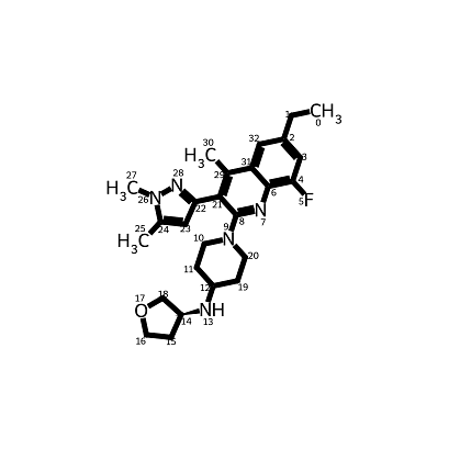 CCc1cc(F)c2nc(N3CCC(N[C@H]4CCOC4)CC3)c(-c3cc(C)n(C)n3)c(C)c2c1